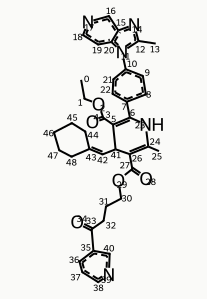 CCOC(=O)C1=C(c2ccc(-n3c(C)nc4cnccc43)cc2)NC(C)=C(C(=O)OCCCC(=O)c2cccnc2)C1C=C1CCCCC1